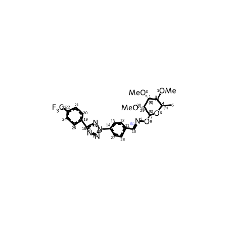 CO[C@@H]1[C@@H](OC)[C@@H](C)O[C@@H](O/N=C/c2ccc(-n3nnc(-c4ccc(C(F)(F)F)cc4)n3)cc2)[C@@H]1OC